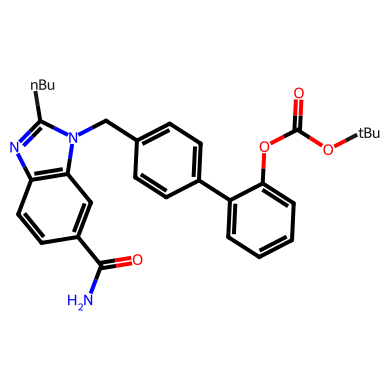 CCCCc1nc2ccc(C(N)=O)cc2n1Cc1ccc(-c2ccccc2OC(=O)OC(C)(C)C)cc1